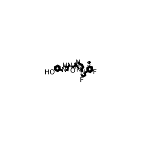 CSc1cc(F)cc(C2CC(F)CN2c2ccc3ncc(C(=O)NC4CN(Cc5cccc(O)c5)C4)n3n2)c1